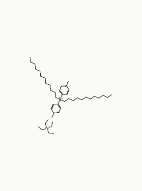 CCCCCCCCCCCC[B-](CCCCCCCCCCCC)(c1ccc(C)cc1)c1ccc(C)cc1.CC[N+](CC)(CC)CC